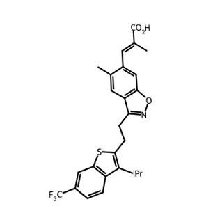 CC(=Cc1cc2onc(CCc3sc4cc(C(F)(F)F)ccc4c3C(C)C)c2cc1C)C(=O)O